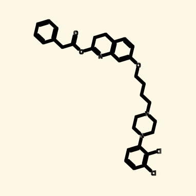 O=C(Cc1ccccc1)OC1=Nc2cc(OCCCCN3CCN(c4cccc(Cl)c4Cl)CC3)ccc2CC1